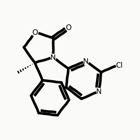 C[C@]1(c2ccccc2)COC(=O)N1c1ccnc(Cl)n1